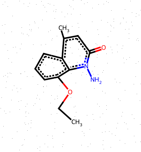 CCOc1cccc2c(C)cc(=O)n(N)c12